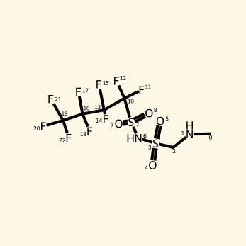 CNCS(=O)(=O)NS(=O)(=O)C(F)(F)C(F)(F)C(F)(F)C(F)(F)F